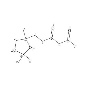 CC(=O)CC(=O)CCC1(C)COC(C)(C)O1